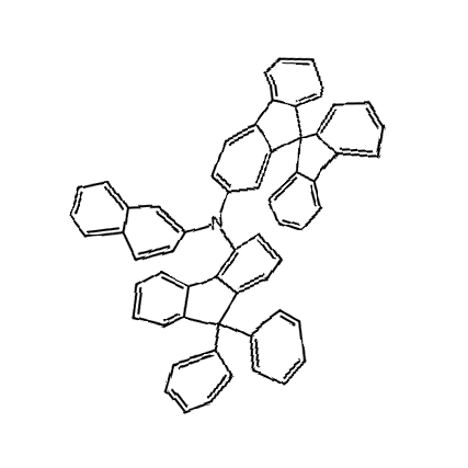 c1ccc(C2(c3ccccc3)c3ccccc3-c3c(N(c4ccc5c(c4)C4(c6ccccc6-c6ccccc64)c4ccccc4-5)c4ccc5ccccc5c4)cccc32)cc1